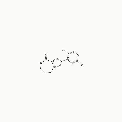 O=C1NCCCn2cc(-c3nc(Cl)ncc3Cl)cc21